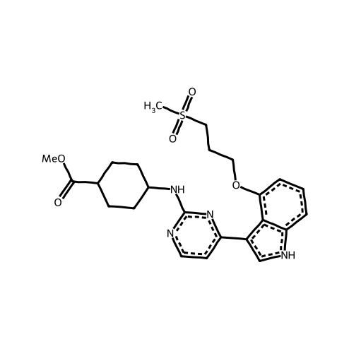 COC(=O)C1CCC(Nc2nccc(-c3c[nH]c4cccc(OCCCS(C)(=O)=O)c34)n2)CC1